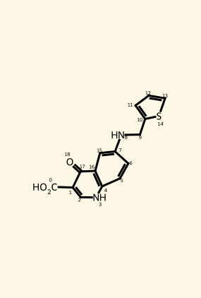 O=C(O)c1c[nH]c2ccc(NCc3cccs3)cc2c1=O